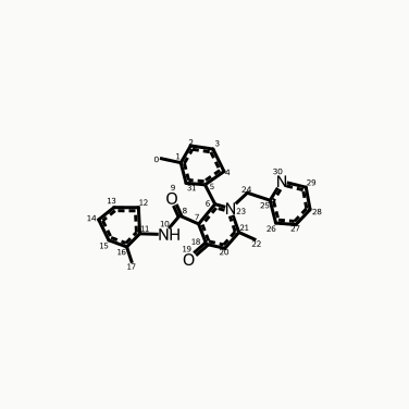 Cc1cccc(-c2c(C(=O)Nc3ccccc3C)c(=O)cc(C)n2Cc2ccccn2)c1